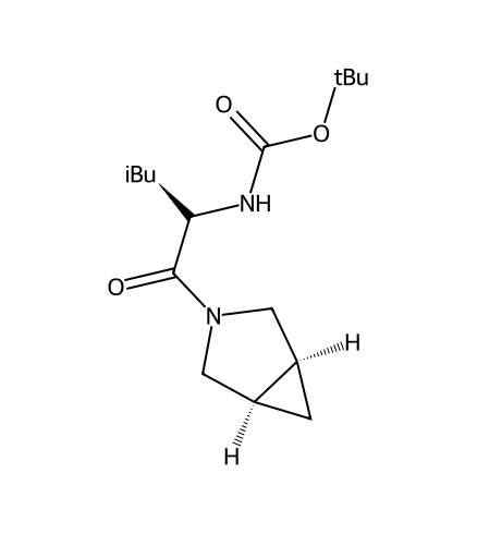 CC[C@H](C)C(NC(=O)OC(C)(C)C)C(=O)N1C[C@H]2C[C@H]2C1